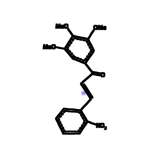 COc1cc(C(=O)/C=C/c2ccccc2[N+](=O)[O-])cc(OC)c1OC